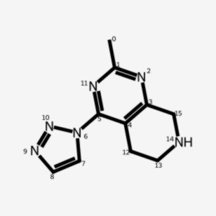 Cc1nc2c(c(-n3ccnn3)n1)CCNC2